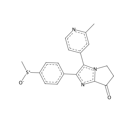 Cc1cc(-c2c(-c3ccc([S+](C)[O-])cc3)nc3n2CCC3=O)ccn1